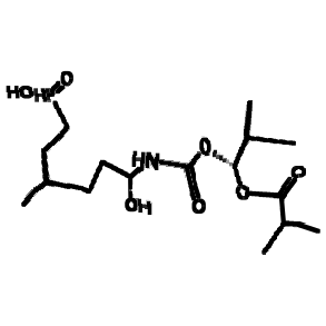 CC(CCC(O)NC(=O)O[C@@H](OC(=O)C(C)C)C(C)C)CC[PH](=O)O